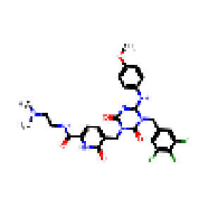 COc1ccc(Nc2nc(=O)n(Cc3ccc(C(=O)NCCN(C)C)[nH]c3=O)c(=O)n2Cc2cc(F)c(F)c(F)c2)cc1